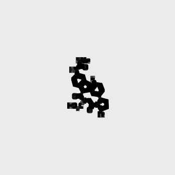 CC[C@@H]1CC[C@@H](c2ccc(F)cc2)N1C(=O)CN(C(=O)O)C(=O)[C@H]1CCc2cc(NC(=O)NC)ccc21